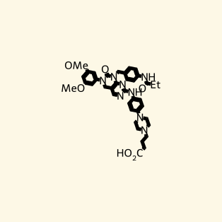 CCC(=O)Nc1ccc(CN2C(=O)N(c3cc(OC)cc(OC)c3)Cc3cnc(Nc4ccc(N5CCN(CCCC(=O)O)CC5)cc4)nc32)cc1